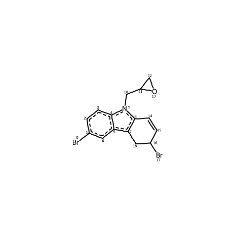 Brc1ccc2c(c1)c1c(n2CC2CO2)C=CC(Br)C1